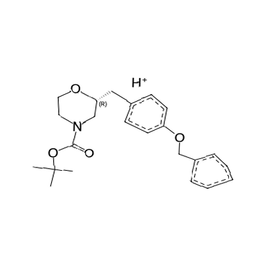 CC(C)(C)OC(=O)N1CCO[C@H](Cc2ccc(OCc3ccccc3)cc2)C1.[H+]